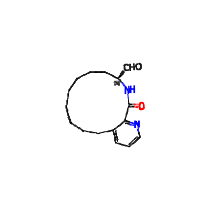 O=C[C@@H]1CCCCCCCCc2cccnc2C(=O)N1